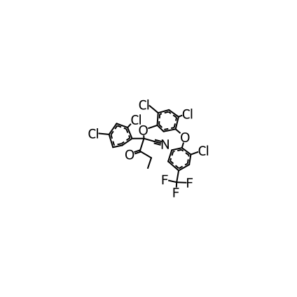 CCC(=O)C(C#N)(Oc1cc(Oc2ccc(C(F)(F)F)cc2Cl)c(Cl)cc1Cl)c1ccc(Cl)cc1Cl